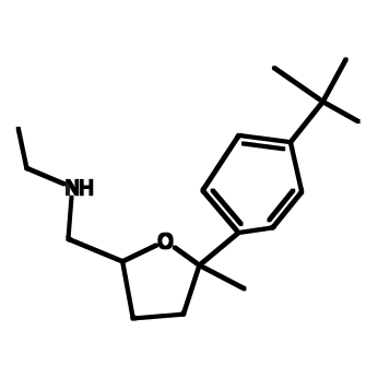 CCNCC1CCC(C)(c2ccc(C(C)(C)C)cc2)O1